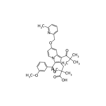 COc1cccc(C(=O)c2c(CC(C)(C)C(=O)O)c(C(=O)C(C)(C)C)c3cc(OCc4cccc(C)n4)ccn23)c1